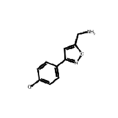 NCc1cc(-c2ccc(Cl)cc2)no1